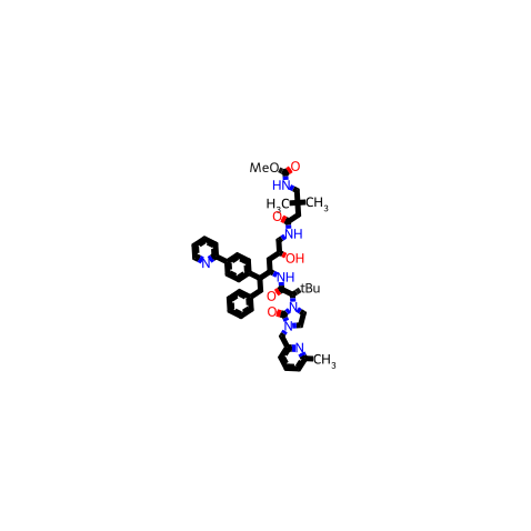 COC(=O)NCC(C)(C)CC(=O)NCC(O)CC(NC(=O)C(N1CCN(Cc2cccc(C)n2)C1=O)C(C)(C)C)C(Cc1ccccc1)c1ccc(-c2ccccn2)cc1